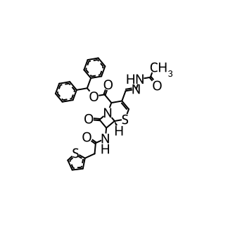 CC(=O)N/N=C/C1=CS[C@@H]2C(NC(=O)Cc3cccs3)C(=O)N2C1C(=O)OC(c1ccccc1)c1ccccc1